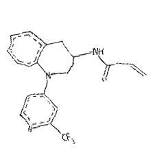 C=CC(=O)NC1Cc2ccccc2N(c2ccnc(C(F)(F)F)c2)C1